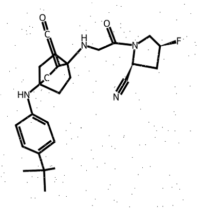 CC(C)(C)c1ccc(NC23CCC(NCC(=O)N4C[C@@H](F)C[C@H]4C#N)(CC2)C(=C=O)C3)cc1